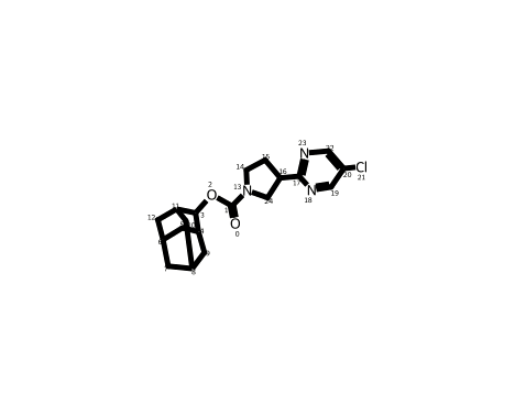 O=C(OC1C2CC3CC(C2)CC1C3)N1CCC(c2ncc(Cl)cn2)C1